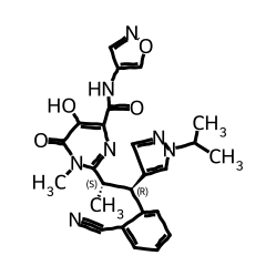 CC(C)n1cc([C@@H](c2ccccc2C#N)[C@H](C)c2nc(C(=O)Nc3cnoc3)c(O)c(=O)n2C)cn1